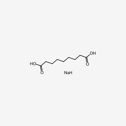 O=C(O)CCCCCCCC(=O)O.[NaH]